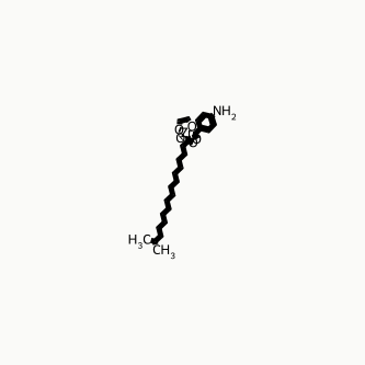 CC(C)CCCCCCCCCCCCCC[C](=O)[Zr]1(=[O])([C](=O)c2ccc(N)cc2)[O]CC[O]1